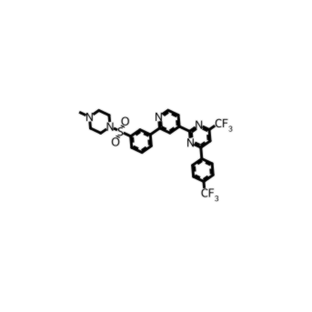 CN1CCN(S(=O)(=O)c2cccc(-c3cc(-c4nc(-c5ccc(C(F)(F)F)cc5)cc(C(F)(F)F)n4)ccn3)c2)CC1